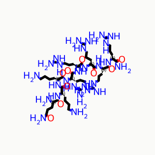 N=C(N)NCCC[C@H](NC(=O)[C@H](CCCNC(=N)N)NC(=O)[C@H](CCCNC(=N)N)NC(=O)[C@H](CCCNC(=N)N)NC(=O)[C@H](CCCNC(=N)N)NC(=O)[C@H](CCCCN)NC(=O)[C@H](CCCCN)NC(=O)[C@@H](N)CCC(N)=O)C(N)=O